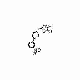 O=C1NCC(CN2CCN(c3cccc([N+](=O)[O-])c3)CC2)O1